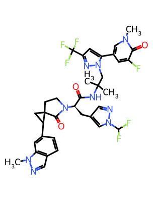 Cn1cc(-c2cc(C(F)(F)F)nn2CC(C)(C)NC(=O)[C@@H](Cc2cnn(C(F)F)c2)N2CCC3(CC3c3ccc4cnn(C)c4c3)C2=O)cc(F)c1=O